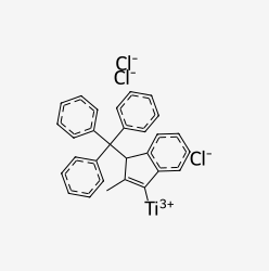 CC1=[C]([Ti+3])c2ccccc2C1C(c1ccccc1)(c1ccccc1)c1ccccc1.[Cl-].[Cl-].[Cl-]